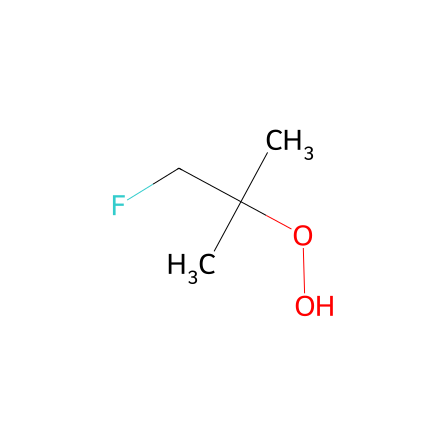 CC(C)(CF)OO